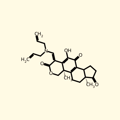 C=CCN(/C=C1\C(=O)OC[C@]2(C)C3=C(C(=O)C(O)=C12)C1CCC(=O)[C@@]1(C)CC3)CC=C